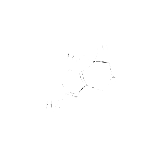 Cc1ccc2c(c1)COCC2(C)C